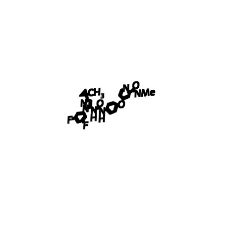 CNC(=O)c1cc(Oc2ccc(NC(=O)Nc3cc(C4(C)CC4)nn3-c3cc(F)cc(F)c3)cc2)ccn1